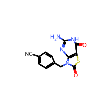 N#Cc1ccc(Cn2c(=O)sc3c(=O)[nH]c(N)nc32)cc1